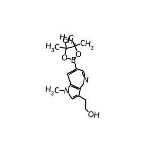 Cn1cc(CCO)c2ncc(B3OC(C)(C)C(C)(C)O3)cc21